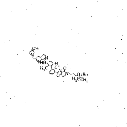 Cc1c(Nc2nccc3cc(CN4CC[C@@H](O)C4)cnc23)cccc1-c1cccc(-c2nc3c(=O)n(CCCCO[Si](C)(C)C(C)(C)C)ccc3o2)c1C